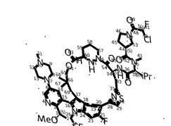 CO[C@@H](C)c1ncc(N2CCN(C)CC2)cc1-c1c2c3cc(c(F)cc3n1CC(F)(F)F)-c1csc(n1)C[C@H](NC(=O)[C@H](C(C)C)N(C)C(=O)[C@H]1CCN(C(=O)[C@H](F)Cl)C1)C(=O)N1CCC[C@H](N1)C(=O)OCC(C)(C)C2